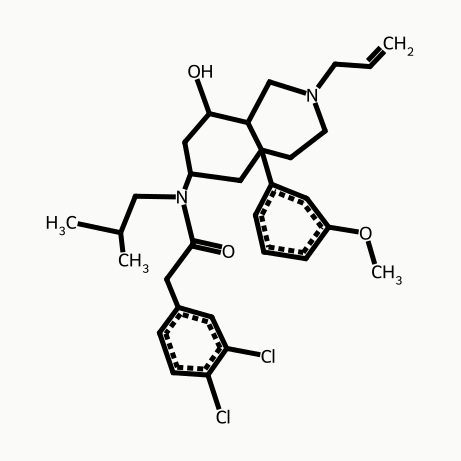 C=CCN1CCC2(c3cccc(OC)c3)CC(N(CC(C)C)C(=O)Cc3ccc(Cl)c(Cl)c3)CC(O)C2C1